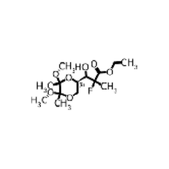 CCOC(=O)C(C)(F)C(O)[C@H]1COC(C)(OC)C(C)(OC)O1